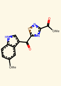 COC(=O)c1nsc(C(=O)c2c[nH]c3ccc(OC)cc23)n1